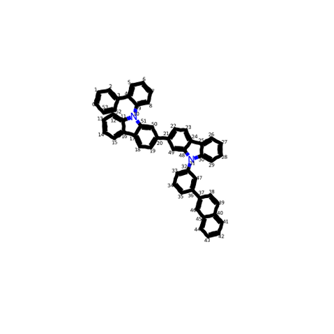 c1ccc(-c2ccccc2-n2c3ccccc3c3ccc(-c4ccc5c6ccccc6n(-c6cccc(-c7ccc8ccccc8c7)c6)c5c4)cc32)cc1